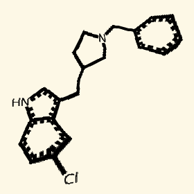 Clc1ccc2[nH]cc(CC3CCN(Cc4ccccc4)C3)c2c1